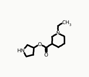 CCN1CCCC(C(=O)OC2CCNC2)C1